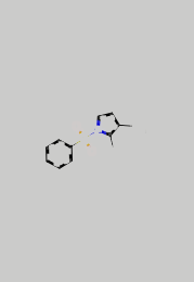 O=C(O)c1c(C(F)(F)F)ccn1S(=O)(=O)c1ccccc1